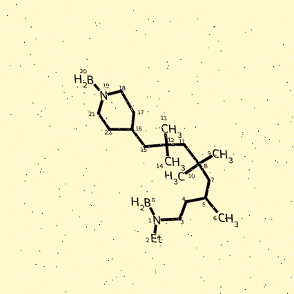 BN(CC)CCC(C)CC(C)(C)CC(C)(C)CC1CCN(B)CC1